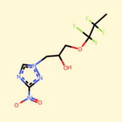 CC(F)(F)C(F)(F)OCC(O)Cn1cnc([N+](=O)[O-])n1